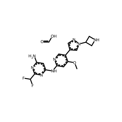 COc1cc(Nc2cc(N)nc(C(F)F)n2)ncc1-c1cnn(C2CNC2)c1.O=CO